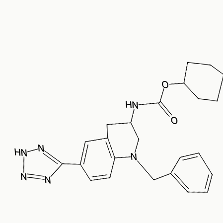 O=C(NC1Cc2cc(-c3nn[nH]n3)ccc2N(Cc2ccccc2)C1)OC1CCCCC1